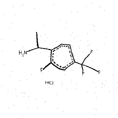 CC(N)c1ccc(C(F)(F)F)cc1F.Cl